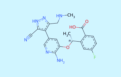 CNCc1n[nH]c(C#N)c1-c1cnc(N)c(O[C@H](C)c2cc(F)ccc2C(=O)O)c1